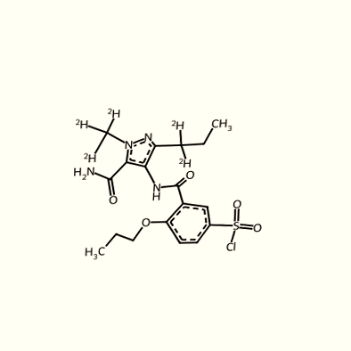 [2H]C([2H])(CC)c1nn(C([2H])([2H])[2H])c(C(N)=O)c1NC(=O)c1cc(S(=O)(=O)Cl)ccc1OCCC